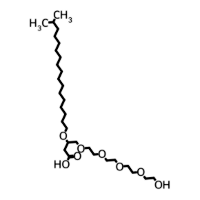 CC(C)CCCCCCCCCCCCCCCOC(COCCOCCOCCOCCO)CC(=O)O